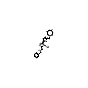 Cl.Cl.c1ccc(CNCc2noc(-c3ccc(CN4CCCCCC4)s3)n2)cc1